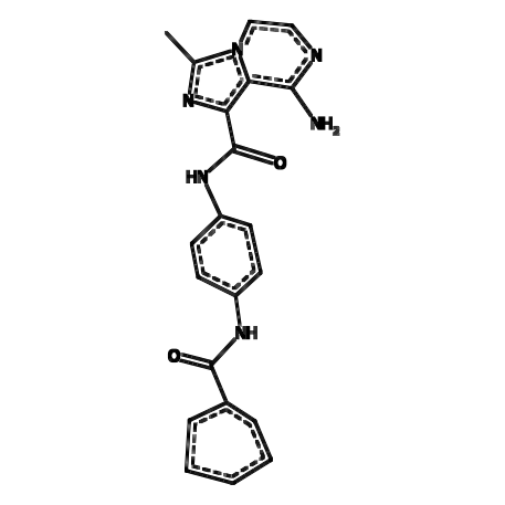 Cc1nc(C(=O)Nc2ccc(NC(=O)c3ccccc3)cc2)c2c(N)nccn12